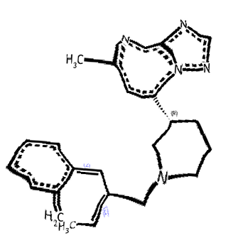 C=c1cccc/c1=C/C(=C\C)CN1CCC[C@@H](c2cc(C)nc3ncnn23)C1